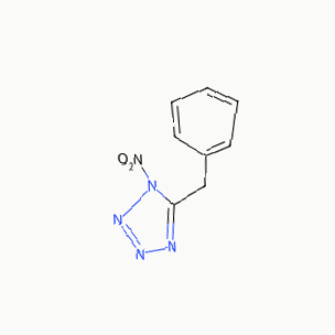 O=[N+]([O-])n1nnnc1Cc1ccccc1